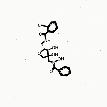 O=C(NC[C@H]1OC[C@@](O)(CN(O)C(=O)c2ccccc2)[C@@H]1O)c1ccccc1Cl